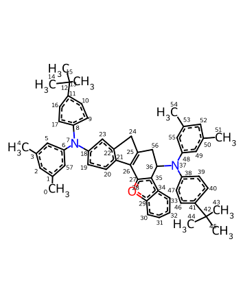 Cc1cc(C)cc(N(c2ccc(C(C)(C)C)cc2)c2ccc3c(c2)CC2=C3c3oc4ccccc4c3C(N(c3ccc(C(C)(C)C)cc3)c3cc(C)cc(C)c3)C2)c1